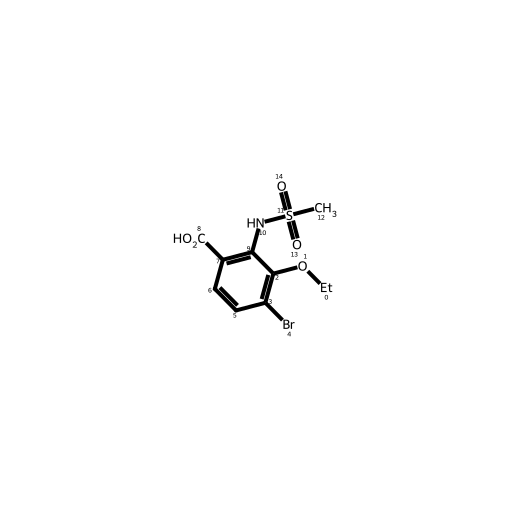 CCOc1c(Br)ccc(C(=O)O)c1NS(C)(=O)=O